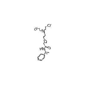 C[C@H](NC(=O)COCCN(CCCl)CCCl)c1ccccc1